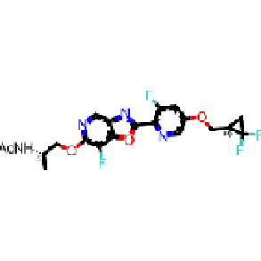 CC(=O)N[C@@H](C)COc1ncc2nc(-c3ncc(OC[C@H]4CC4(F)F)cc3F)oc2c1F